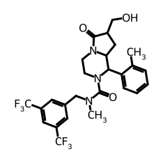 Cc1ccccc1C1C2CC(CO)C(=O)N2CCN1C(=O)N(C)Cc1cc(C(F)(F)F)cc(C(F)(F)F)c1